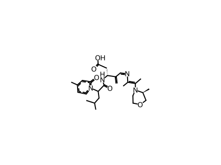 C=C(/C=N\C(C)=C(/C)N1CCOC[C@@H]1C)[C@@H](CC(=O)O)NC(=O)C(CC(C)C)n1ccc(C)cc1=O